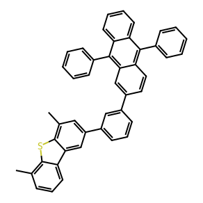 Cc1cccc2c1sc1c(C)cc(-c3cccc(-c4ccc5c(-c6ccccc6)c6ccccc6c(-c6ccccc6)c5c4)c3)cc12